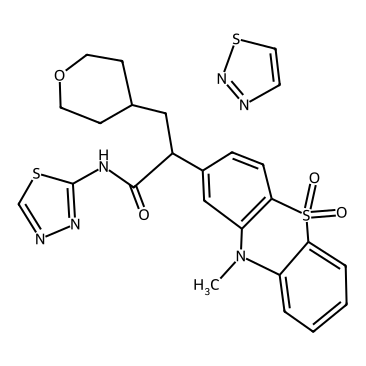 CN1c2ccccc2S(=O)(=O)c2ccc(C(CC3CCOCC3)C(=O)Nc3nncs3)cc21.c1csnn1